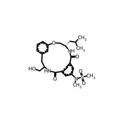 CC(C)C[C@H]1COc2cccc(c2)CC(CO)NC(=O)c2cc(cc(N(C)S(C)(=O)=O)c2)C(=O)N1